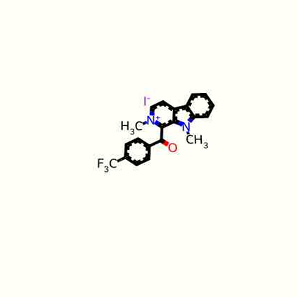 Cn1c2ccccc2c2cc[n+](C)c(C(=O)c3ccc(C(F)(F)F)cc3)c21.[I-]